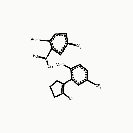 COc1ccc(C(F)(F)F)cc1B(O)O.COc1ccc(C(F)(F)F)cc1C1=C(Br)CCC1